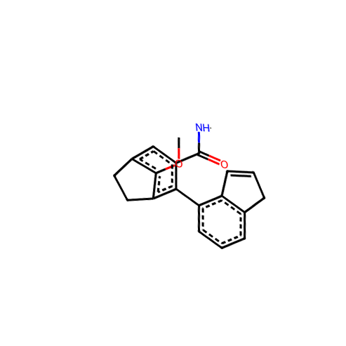 COc1c2cc(C([NH])=O)c(-c3cccc4c3C=CC4)c1CC2